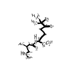 CCC(C)(C)C(=O)CCC(NC(=O)CC(CNC(C)C)C(C)=O)C(=O)O